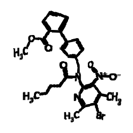 CCCCC(=O)N(Cc1ccc(-c2ccccc2C(=O)OC)cc1)c1nc(C)c(Br)c(C)c1[N+](=O)[O-]